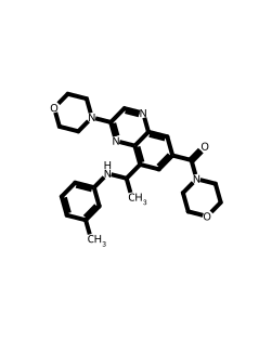 Cc1cccc(NC(C)c2cc(C(=O)N3CCOCC3)cc3ncc(N4CCOCC4)nc23)c1